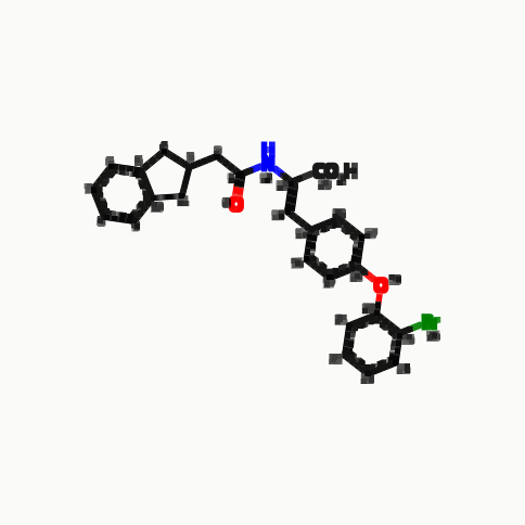 O=C(CC1Cc2ccccc2C1)NC(=Cc1ccc(Oc2ccccc2Br)cc1)C(=O)O